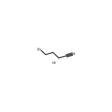 I.N#CCC[CH2][Zn]